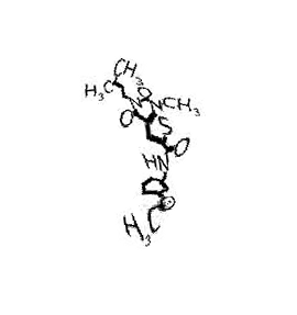 COc1cccc(CNC(=O)c2cc3c(=O)n(CC=C(C)C)c(=O)n(C)c3s2)c1